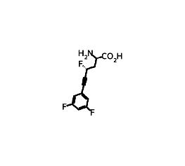 N[C@H](C[C@@H](F)C#Cc1cc(F)cc(F)c1)C(=O)O